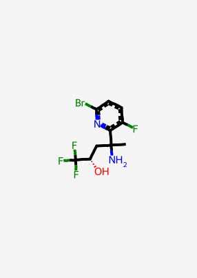 CC(N)(C[C@H](O)C(F)(F)F)c1nc(Br)ccc1F